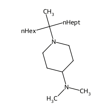 CCCCCCCC(C)(CCCCCC)N1CCC(N(C)C)CC1